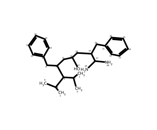 CC(C)C(C(C)C)C(Cc1ccccc1)CC(O)CC(Cc1ccccc1)C(N)N